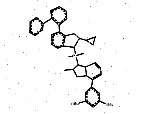 CCCCc1cc(CCCC)cc(C2=CC=CC3C2CC(C)C3[Si](C)(C)C2c3cccc(-c4ccccc4-c4ccccc4)c3CC2C2CC2)c1